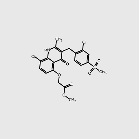 COC(=O)COc1ccc(Cl)c2[nH]c(C)c(Cc3ccc(S(C)(=O)=O)cc3Cl)c(=O)c12